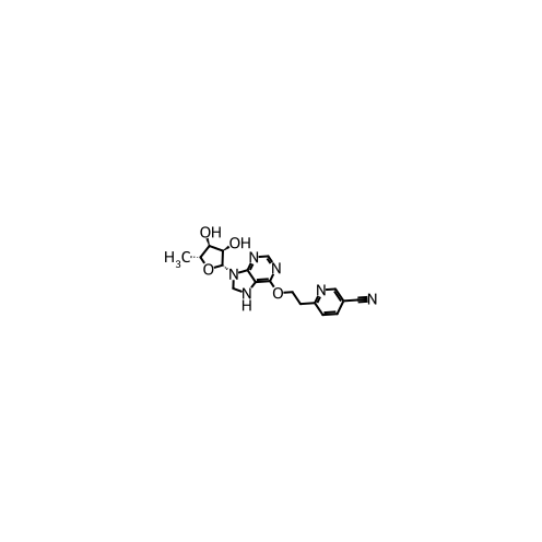 C[C@H]1O[C@@H](N2CNc3c(OCCc4ccc(C#N)cn4)ncnc32)[C@H](O)[C@@H]1O